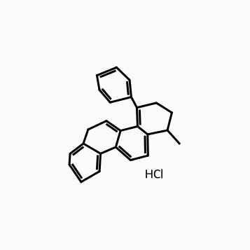 CC1CCC(c2ccccc2)=c2c1ccc1c2=CCc2ccccc2-1.Cl